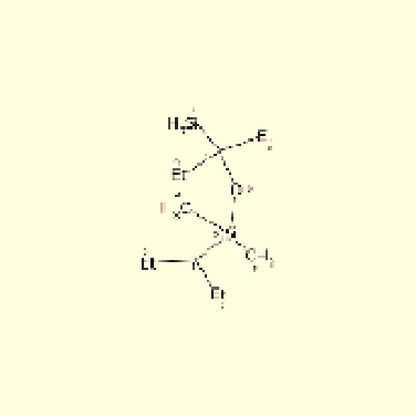 CCC(CC)[Si](C)(C)OC([SiH3])(CC)CC